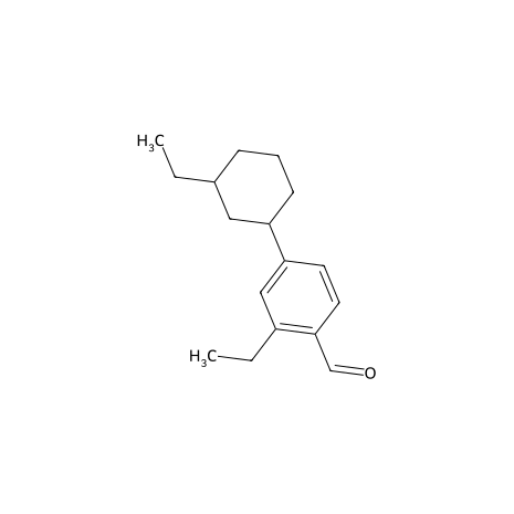 CCc1cc(C2CCCC(CC)C2)ccc1C=O